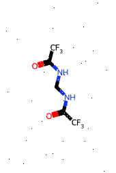 O=C(NCNC(=O)C(F)(F)F)C(F)(F)F